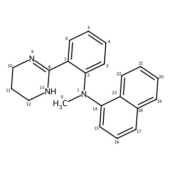 CN(c1ccccc1C1=NCCCN1)c1cccc2ccccc12